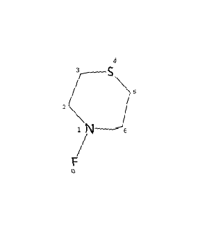 FN1CCSCC1